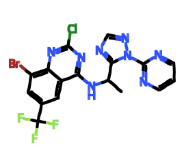 CC(Nc1nc(Cl)nc2c(Br)cc(C(F)(F)F)cc12)c1ncnn1-c1ncccn1